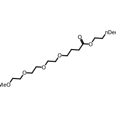 CCCCCCCCCCCCOC(=O)CCCOCCOCCOCCOC